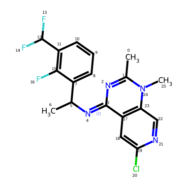 Cc1n/c(=N\C(C)c2cccc(C(F)F)c2F)c2cc(Cl)ncc2n1C